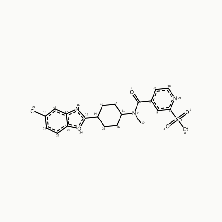 CCS(=O)(=O)c1cc(C(=O)N(C)C2CCC(c3nc4cc(Cl)ccc4o3)CC2)ccn1